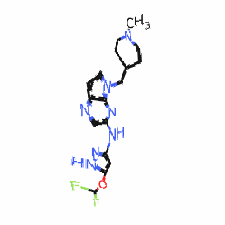 CN1CCC(Cn2ccc3ncc(Nc4cc(OC(F)F)[nH]n4)nc32)CC1